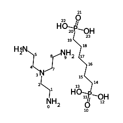 NCCN(CCN)CCN.O=P(O)(O)CCCCCCP(=O)(O)O